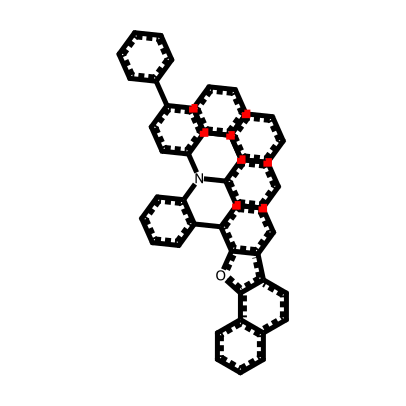 c1ccc(-c2ccc(N(c3ccccc3-c3ccccc3)c3ccccc3-c3cccc4c3oc3c5ccccc5ccc43)c(-c3ccccc3)c2)cc1